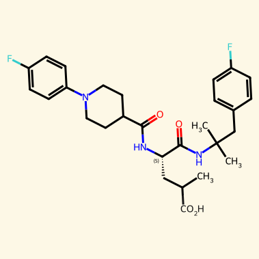 CC(C[C@H](NC(=O)C1CCN(c2ccc(F)cc2)CC1)C(=O)NC(C)(C)Cc1ccc(F)cc1)C(=O)O